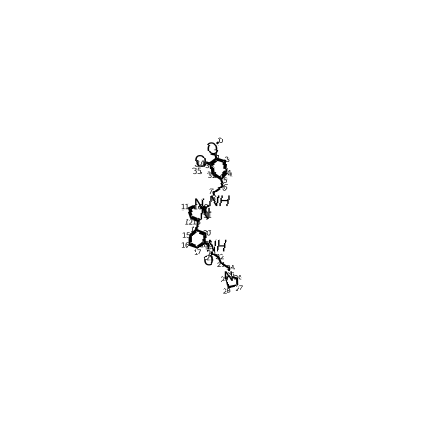 COc1ccc(CCNc2nccc(-c3cccc(NC(=O)CCCN4CCCC4)c3)n2)cc1OC